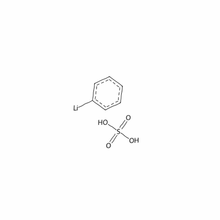 O=S(=O)(O)O.[Li][c]1ccccc1